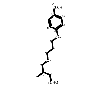 CC(CC=O)COCCCOc1ccc(C(=O)O)cc1